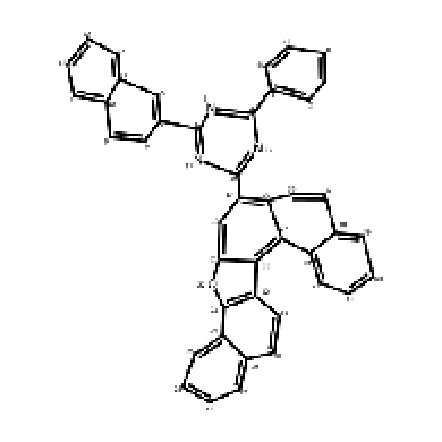 c1ccc(-c2nc(-c3ccc4ccccc4c3)nc(-c3cc4oc5c6ccccc6ccc5c4c4c3ccc3ccccc34)n2)cc1